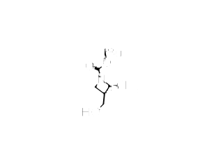 C[C@H]1C(CO)CN1C(=O)OC(C)(C)C